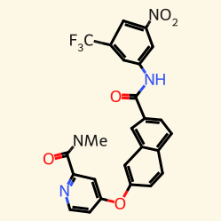 CNC(=O)c1cc(Oc2ccc3ccc(C(=O)Nc4cc([N+](=O)[O-])cc(C(F)(F)F)c4)cc3c2)ccn1